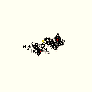 CC1C(B(c2ccc3c(c2)Sc2cccc4c2c-3cc2c3ccccc3c(B(C3CC5CC(C3C)C5(C)C)C3CC5CC(C3C)C5(C)C)cc42)C2CC3CC(C2C)C3(C)C)CC2CC1C2(C)C